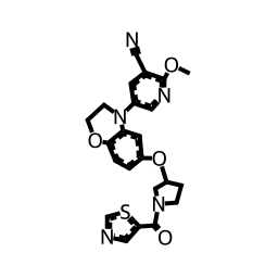 COc1ncc(N2CCOc3ccc(OC4CCN(C(=O)c5cncs5)C4)cc32)cc1C#N